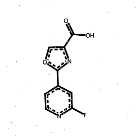 O=C(O)c1coc(-c2ccnc(F)c2)n1